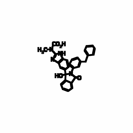 CN(C(=O)O)c1nc2cc(C3(O)c4ccccc4C(=O)N3c3cccc(Cc4ccccc4)c3)ccc2[nH]1